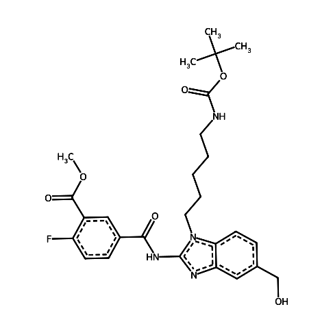 COC(=O)c1cc(C(=O)Nc2nc3cc(CO)ccc3n2CCCCCNC(=O)OC(C)(C)C)ccc1F